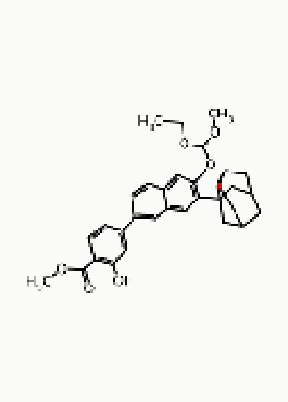 CCOC(OC)Oc1cc2ccc(-c3ccc(C(=O)OC)c(O)c3)cc2cc1C12CC3CC(CC(C3)C1)C2